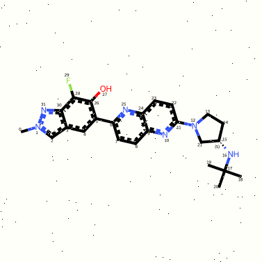 Cn1cc2cc(-c3ccc4nc(N5CC[C@H](NC(C)(C)C)C5)ccc4n3)c(O)c(F)c2n1